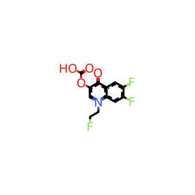 O=C(O)Oc1cn(CCF)c2cc(F)c(F)cc2c1=O